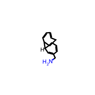 NCC1=C[C@@H]2C3=C(C=C1)C/C=C/C=C\C32